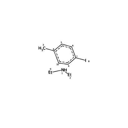 CCNCC.Cc1ccc(I)cc1